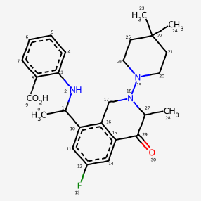 CC(Nc1ccccc1C(=O)O)c1cc(F)cc2c1CN(N1CCC(C)(C)CC1)C(C)C2=O